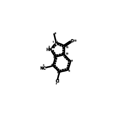 Cn1[nH]c2c(C#N)c(Cl)ccc2c1=O